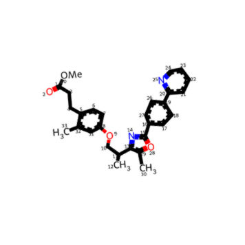 COC(=O)CCc1ccc(OCC(C)c2nc(-c3ccc(-c4ccccn4)cc3)oc2C)cc1C